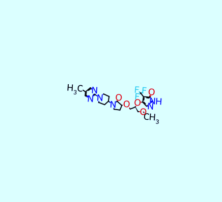 COC[C@@H](CO[C@@H]1CCN(C2CCN(c3ncc(C)cn3)CC2)C1=O)Oc1cn[nH]c(=O)c1C(F)(F)F